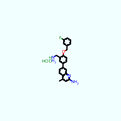 Cc1cc(N)nc2cc(-c3ccc(OCc4cccc(F)c4)c(CN)c3)ccc12.Cl.Cl